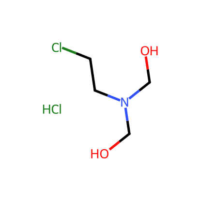 Cl.OCN(CO)CCCl